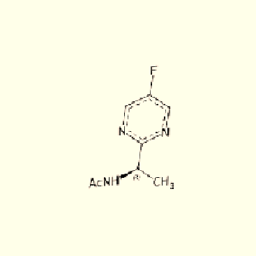 CC(=O)N[C@H](C)c1ncc(F)cn1